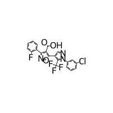 O=C(O)c1c(-c2ccccc2F)noc1-c1cnn(-c2cccc(Cl)c2)c1C(F)(F)F